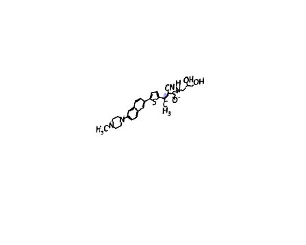 C/C(=C(/C#N)[S+]([O-])NCC(O)CO)c1ccc(-c2ccc3cc(N4CCN(C)CC4)ccc3c2)s1